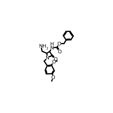 COc1ccc(CN2C(=O)C(NC(=O)OCc3ccccc3)C2CN)c(OC)c1